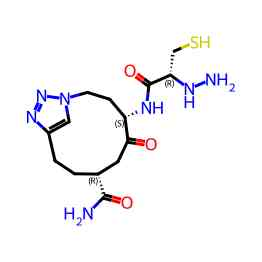 NN[C@@H](CS)C(=O)N[C@H]1CCn2cc(nn2)CC[C@@H](C(N)=O)CC1=O